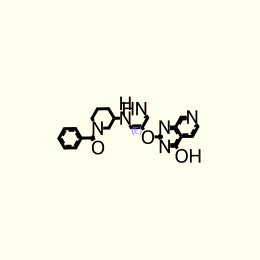 N=C/C(=C\NC1CCCN(C(=O)c2ccccc2)C1)Oc1nc(O)c2ccncc2n1